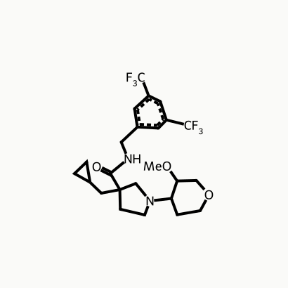 COC1COCCC1N1CCC(CC2CC2)(C(=O)NCc2cc(C(F)(F)F)cc(C(F)(F)F)c2)C1